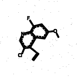 C=Cc1c(Cl)cnc2c(F)cc(OC)cc12